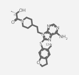 C[C@H](O)C(=O)N1CCC(CCn2c(Sc3cc4c(cc3[124I])CCO4)nc3c(N)ncnc32)CC1